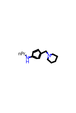 CCCNc1ccc(CN2CCCCC2)cc1